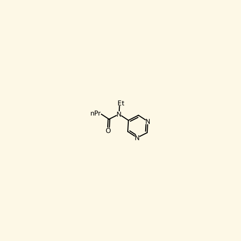 CCCC(=O)N(CC)c1cncnc1